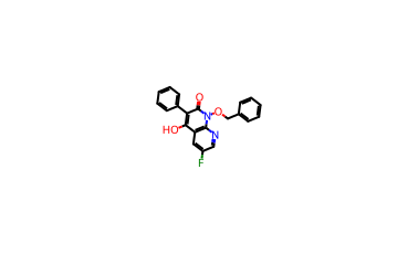 O=c1c(-c2ccccc2)c(O)c2cc(F)cnc2n1OCc1ccccc1